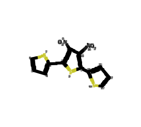 O=[N+]([O-])c1c(-c2cccs2)sc(-c2cccs2)c1[N+](=O)[O-]